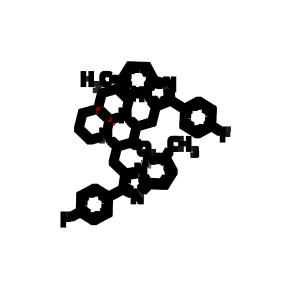 Cc1ccc2nc(-c3ccc(F)cc3)c(CC(C(=O)C(Cc3c(-c4ccc(F)cc4)nc4ccc(C)nn34)N3CCCCC3)N3CCCCC3)n2n1